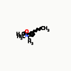 CCCCCCc1ccc(C)c(C2=NC(C)(C)CO2)c1